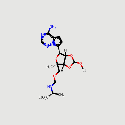 CCOC(=O)[C@H](C)NCOC[C@@]1(C)O[C@@H](c2ccc3c(N)ncnn23)[C@@H]2OC(OCC)O[C@@H]21